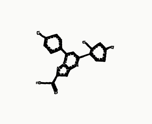 O=C(O)c1cc2nc(-c3ccc(Cl)cc3Cl)cc(-c3ccc(Cl)cc3)n2n1